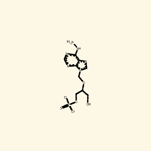 OCC(COP(=S)(Cl)Cl)OCn1cnc2c(NP)ncnc21